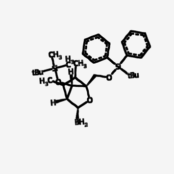 B[C@@H]1O[C@@]2(CO[Si](c3ccccc3)(c3ccccc3)C(C)(C)C)C(C)C(C)[C@@H]1[C@@H]2O[Si](C)(C)C(C)(C)C